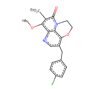 CCCCOc1c(C(=O)OCC)c(=O)n2c3c(c(Cc4ccc(F)cc4)cnc13)OCC2